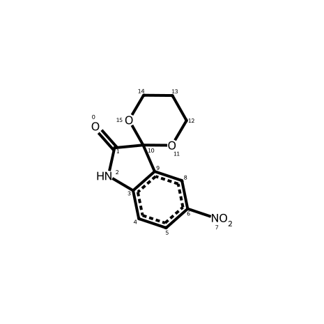 O=C1Nc2ccc([N+](=O)[O-])cc2C12OCCCO2